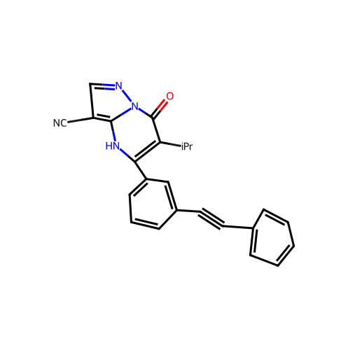 CC(C)c1c(-c2cccc(C#Cc3ccccc3)c2)[nH]c2c(C#N)cnn2c1=O